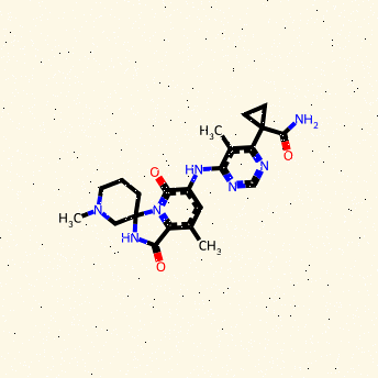 Cc1cc(Nc2ncnc(C3(C(N)=O)CC3)c2C)c(=O)n2c1C(=O)NC21CCCN(C)C1